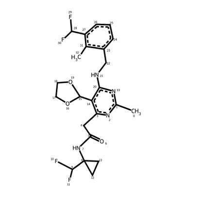 Cc1nc(CC(=O)NC2(C(F)F)CC2)c(C2OCCO2)c(NCc2cccc(C(F)F)c2C)n1